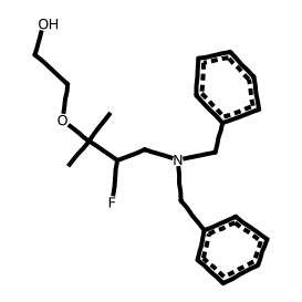 CC(C)(OCCO)C(F)CN(Cc1ccccc1)Cc1ccccc1